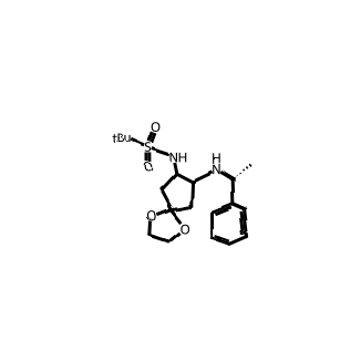 C[C@@H](NC1CC2(CC1NS(=O)(=O)C(C)(C)C)OCCO2)c1ccccc1